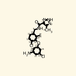 Cc1n[nH]nc1C(=O)NCc1ccc(Cl)c(Oc2cc(N)cc(Cl)c2)c1F